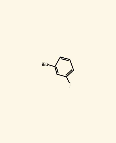 CCC(C)c1cccc(I)c1